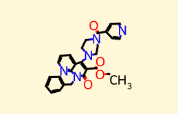 CCOC(=O)c1c(N2CCN(C(=O)c3ccncc3)CC2)c2cccnc2n(Cc2ccccc2)c1=O